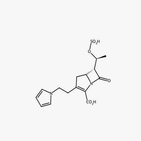 C[C@H](OS(=O)(=O)O)[C@@H]1C(=O)N2C(C(=O)O)=C(CCn3cccc3)CC12